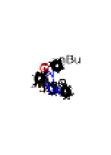 CCCCc1ccc(NC(=O)c2ccc(C)c(SN3CCN(c4ccccc4OC)CC3)c2)cc1